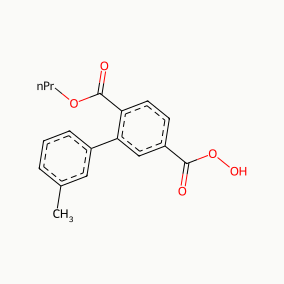 CCCOC(=O)c1ccc(C(=O)OO)cc1-c1cccc(C)c1